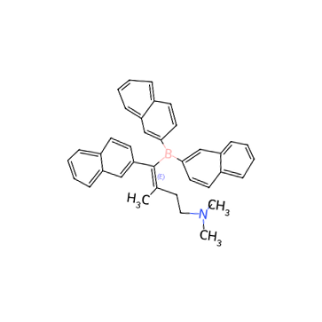 C/C(CCN(C)C)=C(/B(c1ccc2ccccc2c1)c1ccc2ccccc2c1)c1ccc2ccccc2c1